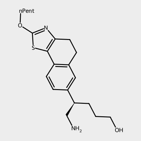 CCCCCOc1nc2c(s1)-c1ccc([C@H](CN)CCCO)cc1CC2